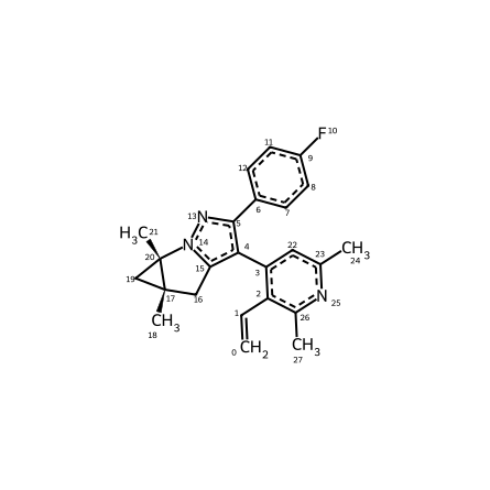 C=Cc1c(-c2c(-c3ccc(F)cc3)nn3c2C[C@]2(C)C[C@]32C)cc(C)nc1C